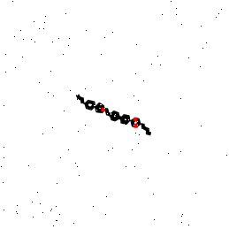 CCCCC[C@H]1CC[C@H](c2ccc(-c3ccc(CCc4ccc([C@H]5CC[C@H](CCCC)CC5)cc4)cc3)cc2)CC1